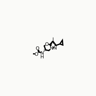 COC(=O)N[C@@H]1COc2c(I)c(C3CC3)nn2C1